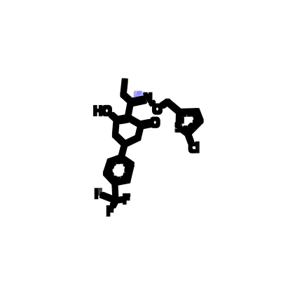 CC/C(=N/OCc1ccc(Cl)s1)C1=C(O)CC(c2ccc(C(F)(F)F)cc2)CC1=O